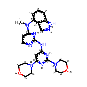 CN(c1ccnc(Nc2cc(N3CCOCC3)nc(N3CCOCC3)n2)n1)c1cccc2[nH]ncc12